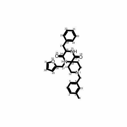 Cc1cccc(CN2CCC3(CC2)C(=O)NC(Cc2ccccc2)C(=O)N3Cc2ccco2)c1